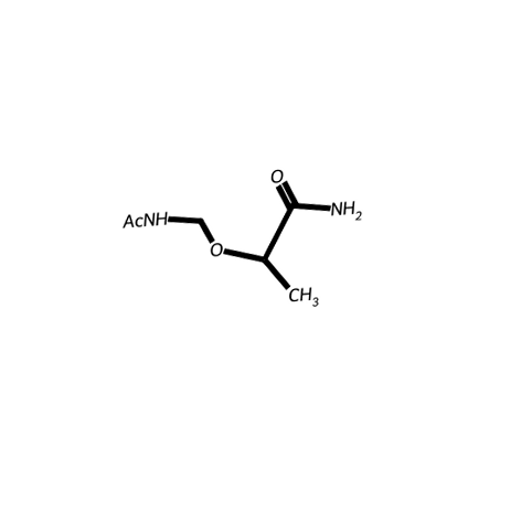 CC(=O)NCOC(C)C(N)=O